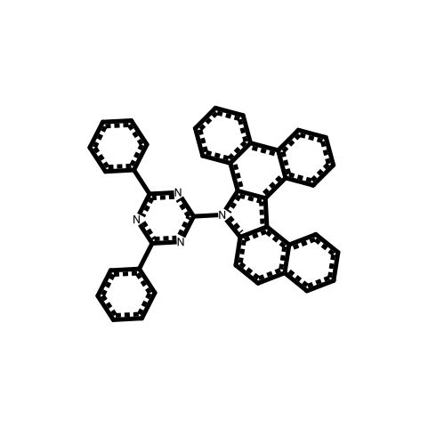 c1ccc(-c2nc(-c3ccccc3)nc(-n3c4ccc5ccccc5c4c4c5ccccc5c5ccccc5c43)n2)cc1